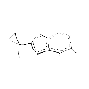 N#CC1(c2cc3cc(Cl)ccc3s2)CC1